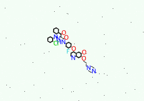 COc1cc2c(Oc3ccc(NC(=O)c4nn(-c5ccccc5Cl)c5ccccc5c4=O)cc3F)ccnc2cc1OCCCN1CCN(C)CC1